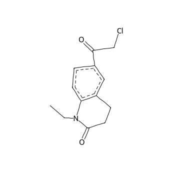 CCN1C(=O)CCc2cc(C(=O)CCl)ccc21